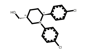 OC[C@@H]1CC[C@@H](c2ccc(Cl)cc2)N(c2ccc(Cl)cc2)C1